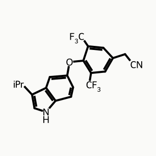 CC(C)c1c[nH]c2ccc(Oc3c(C(F)(F)F)cc(CC#N)cc3C(F)(F)F)cc12